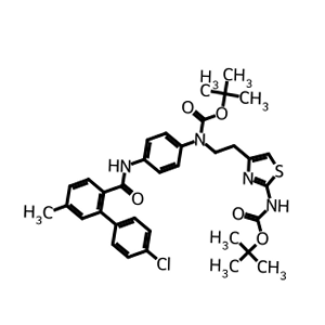 Cc1ccc(C(=O)Nc2ccc(N(CCc3csc(NC(=O)OC(C)(C)C)n3)C(=O)OC(C)(C)C)cc2)c(-c2ccc(Cl)cc2)c1